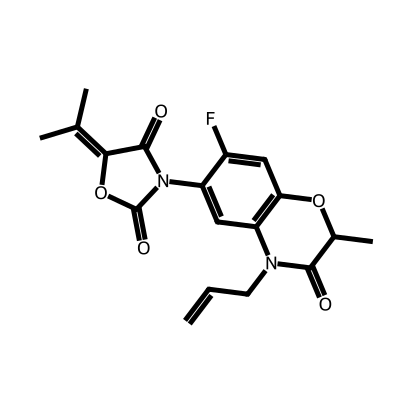 C=CCN1C(=O)C(C)Oc2cc(F)c(N3C(=O)OC(=C(C)C)C3=O)cc21